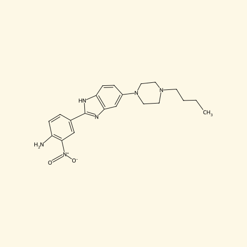 CCCCN1CCN(c2ccc3[nH]c(-c4ccc(N)c([N+](=O)[O-])c4)nc3c2)CC1